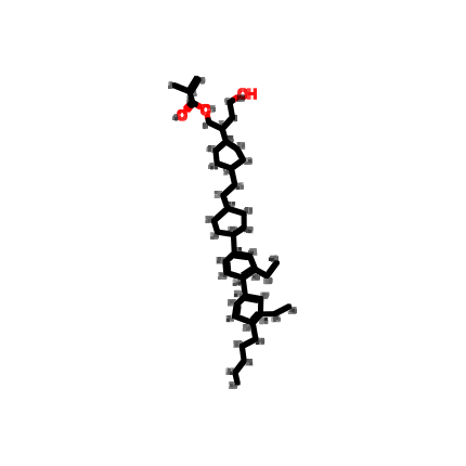 C=C(C)C(=O)OCC(CCO)C1CCC(CCC2CCC(c3ccc(-c4ccc(CCCCC)c(CC)c4)c(CC)c3)CC2)CC1